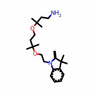 C=C1N(CCOC(C)(C)CCOC(C)(C)CCN)c2ccccc2C1(C)C